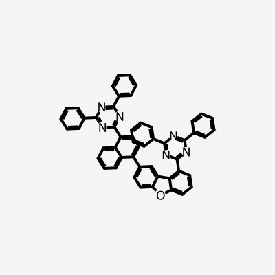 c1ccc(-c2nc(-c3ccccc3)nc(-c3ccc(-c4ccc5oc6cccc(-c7nc(-c8ccccc8)nc(-c8ccccc8)n7)c6c5c4)c4ccccc34)n2)cc1